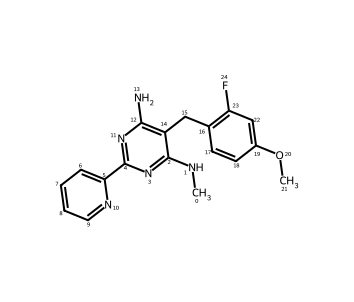 CNc1nc(-c2ccccn2)nc(N)c1Cc1ccc(OC)cc1F